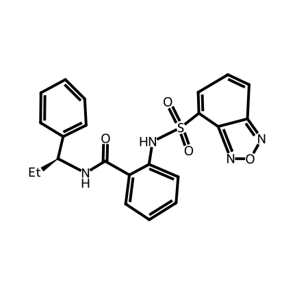 CC[C@H](NC(=O)c1ccccc1NS(=O)(=O)c1cccc2nonc12)c1ccccc1